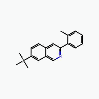 Cc1ccccc1-c1cc2ccc([Si](C)(C)C)cc2cn1